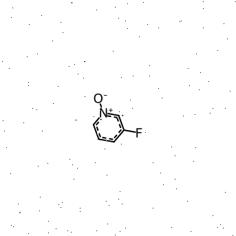 [O-][n+]1[c]c(F)ccc1